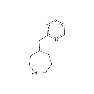 c1cnc(CC2CCCNCC2)nc1